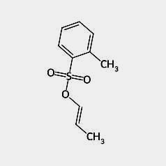 CC=COS(=O)(=O)c1ccccc1C